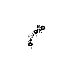 O=C(NSCCOc1ccc(I)cc1)Nc1ccc(NC(=O)c2ccccc2F)cc1